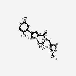 Cc1cnc(Cl)cc1-c1cc2n(c1)CC(C)N(Cc1cnn(C)n1)C2=O